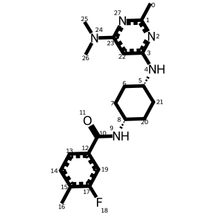 Cc1nc(N[C@H]2CC[C@@H](NC(=O)c3ccc(C)c(F)c3)CC2)cc(N(C)C)n1